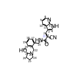 N#C/C(=C\c1c[nH]c2ncccc12)C(=O)NCc1ccccc1CN1CCCC1O